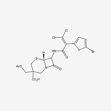 CC(=O)OCC1(C(=O)O)CS[C@@H]2C(NC(=O)C(=C(Cl)Cl)c3ccc(Br)s3)C(=O)N2C1